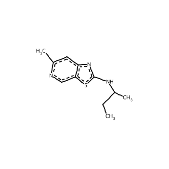 CCC(C)Nc1nc2cc(C)ncc2s1